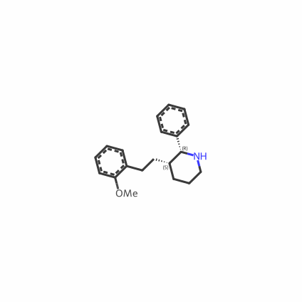 COc1ccccc1CC[C@H]1CCCN[C@H]1c1ccccc1